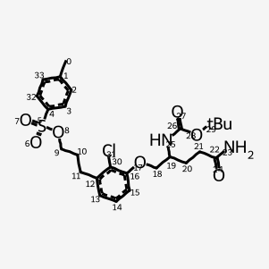 Cc1ccc(S(=O)(=O)OCCCc2cccc(OCC(CCC(N)=O)NC(=O)OC(C)(C)C)c2Cl)cc1